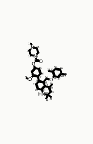 COc1cc(OC(=O)N2CCN(C)CC2)ccc1-c1ccc2c(c1COc1cc(F)ccc1C)C(C)=CC(C)(C)N2